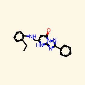 CCc1ccccc1NCc1cc(=O)n2nc(-c3ccccc3)nc2[nH]1